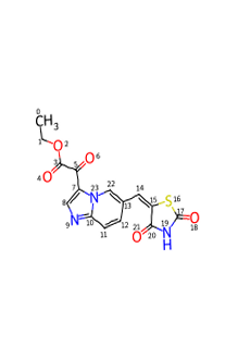 CCOC(=O)C(=O)c1cnc2ccc(C=C3SC(=O)NC3=O)cn12